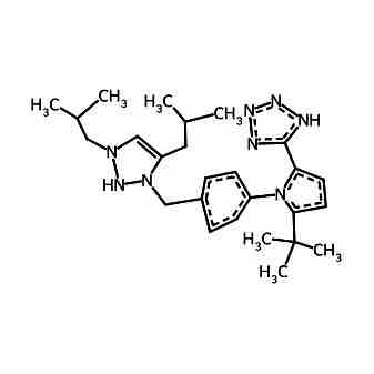 CC(C)CC1=CN(CC(C)C)NN1Cc1ccc(-n2c(-c3nnn[nH]3)ccc2C(C)(C)C)cc1